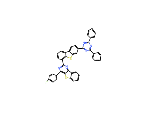 Fc1ccc(-c2nc(-c3cccc4c3sc3cc(-c5nc(-c6ccccc6)nc(-c6ccccc6)n5)ccc34)nc3c2sc2ccccc23)cc1